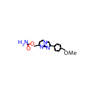 COCc1ccc(-c2cn3ccc(COC(N)=O)nc3n2)cc1